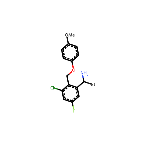 CCC(N)c1cc(F)cc(Cl)c1COc1ccc(OC)cc1